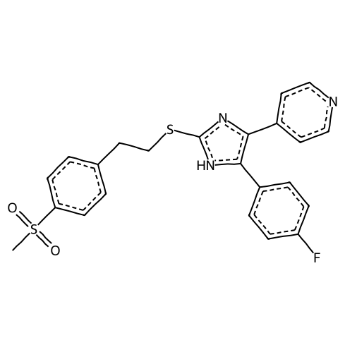 CS(=O)(=O)c1ccc(CCSc2nc(-c3ccncc3)c(-c3ccc(F)cc3)[nH]2)cc1